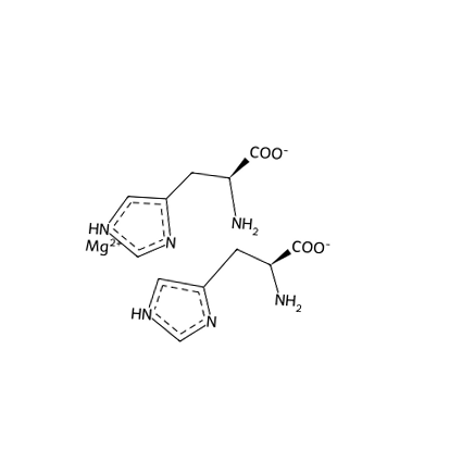 N[C@@H](Cc1c[nH]cn1)C(=O)[O-].N[C@@H](Cc1c[nH]cn1)C(=O)[O-].[Mg+2]